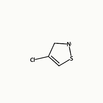 ClC1=CS[N]C1